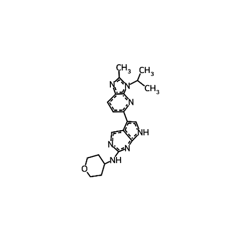 Cc1nc2ccc(-c3c[nH]c4nc(NC5CCOCC5)ncc34)nc2n1C(C)C